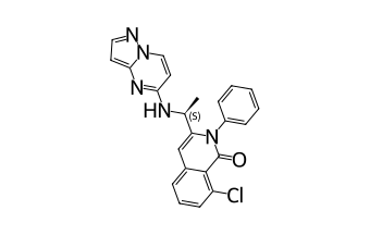 C[C@H](Nc1ccn2nccc2n1)c1cc2cccc(Cl)c2c(=O)n1-c1ccccc1